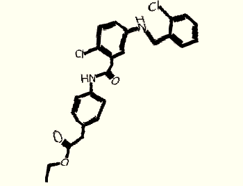 CCOC(=O)Cc1ccc(NC(=O)c2cc(NCc3ccccc3Cl)ccc2Cl)cc1